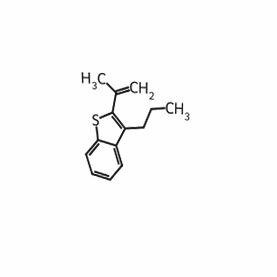 C=C(C)c1sc2ccccc2c1CCC